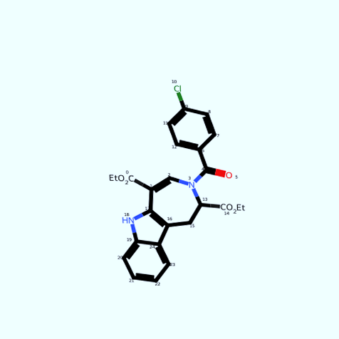 CCOC(=O)C1=CN(C(=O)c2ccc(Cl)cc2)C(C(=O)OCC)Cc2c1[nH]c1ccccc21